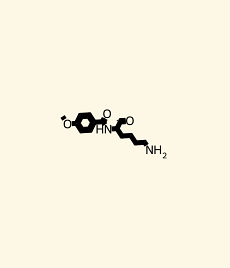 COc1ccc(C(=O)NC([C]=O)CCCCN)cc1